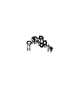 Cc1ccc2c(NC[C@H]3CC3(F)F)cccc2c1Oc1ncccc1-c1ccnc(NC2CCCNC2)n1